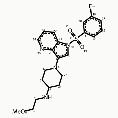 COCCNC1CCN(c2cn(S(=O)(=O)c3cccc(F)c3)c3cccnc23)CC1